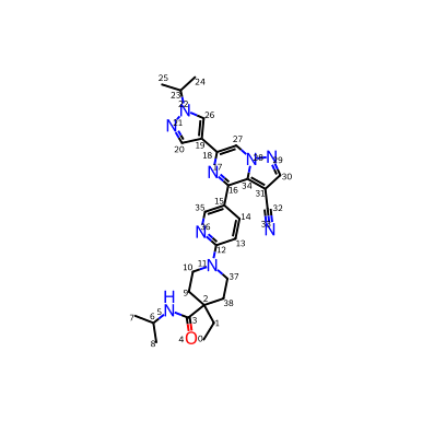 CCC1(C(=O)NC(C)C)CCN(c2ccc(-c3nc(-c4cnn(C(C)C)c4)cn4ncc(C#N)c34)cn2)CC1